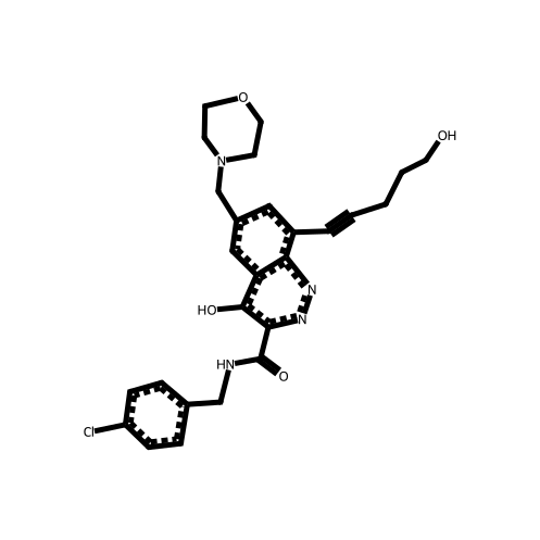 O=C(NCc1ccc(Cl)cc1)c1nnc2c(C#CCCCO)cc(CN3CCOCC3)cc2c1O